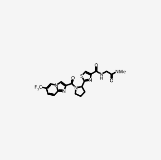 CNC(=O)CNC(=O)c1csc(C2CCCN2C(=O)c2cn3cc(C(F)(F)F)ccc3n2)n1